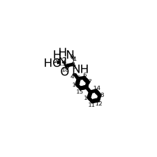 NC[C@H](NCc1ccc(-c2ccccc2)cc1)C(=O)NO